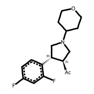 CC(=O)[C@@H]1CN(C2CCOCC2)C[C@H]1c1ccc(F)cc1F